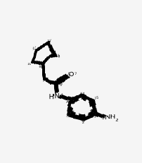 Nc1ccc(NC(=O)CC2CCCC2)cc1